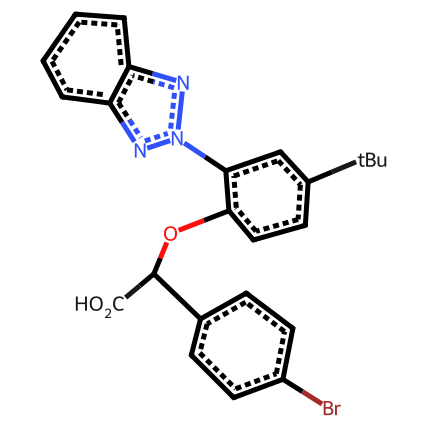 CC(C)(C)c1ccc(OC(C(=O)O)c2ccc(Br)cc2)c(-n2nc3ccccc3n2)c1